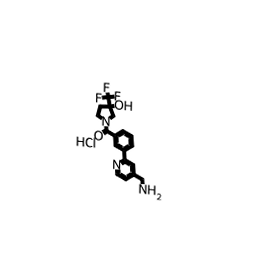 Cl.NCc1ccnc(-c2cccc(C(=O)N3CCC(O)(C(F)(F)F)C3)c2)c1